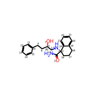 NC(=O)[C@]1(NC[C@H](O)[CH]Cc2ccccc2)CCCc2ccccc21